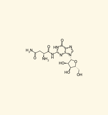 NC(=O)C[C@H](N)C(=O)Nc1nc2c(ncn2[C@@H]2O[C@H](CO)[C@@H](O)[C@H]2O)c(=O)[nH]1